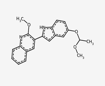 COc1nc2ccccc2cc1-c1cc2cc(OC(C)OC)ccc2[nH]1